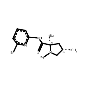 [2H]N1C[C@@H](C)C[C@@]1(C(=O)Nc1cccc(Br)n1)C(C)(C)C